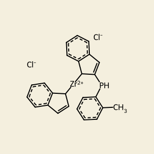 Cc1ccccc1PC1=Cc2ccccc2[CH]1[Zr+2][CH]1C=Cc2ccccc21.[Cl-].[Cl-]